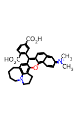 C[N+](C)=c1ccc2c(ccc3c(-c4cc(C(=O)O)ccc4C(=O)O)c4cc5c6c(c4oc32)CCCN6CCCC5)c1